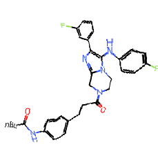 CCCCC(=O)Nc1ccc(CCC(=O)N2CCn3c(nc(-c4cccc(F)c4)c3Nc3ccc(F)cc3)C2)cc1